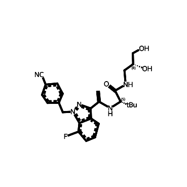 C=C(N[C@H](C(=O)NC[C@@H](O)CO)C(C)(C)C)c1nn(Cc2ccc(C#N)cc2)c2c(F)cccc12